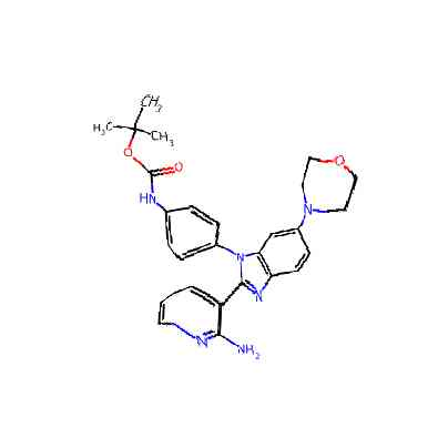 CC(C)(C)OC(=O)Nc1ccc(-n2c(-c3cccnc3N)nc3ccc(N4CCOCC4)cc32)cc1